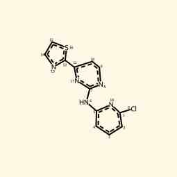 Clc1cccc(Nc2nccc(-c3nccs3)n2)n1